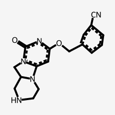 N#Cc1cccc(COc2cc3n(c(=O)n2)CC2CNCCN32)c1